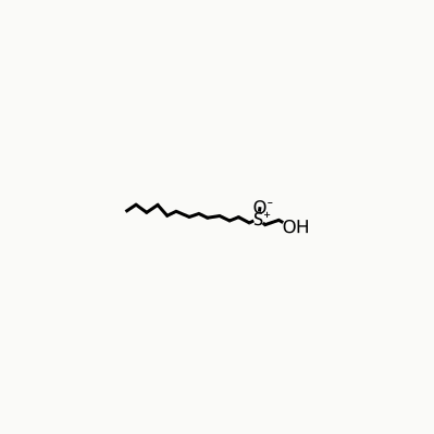 CCCCCCCCCCCCC[S+]([O-])CCO